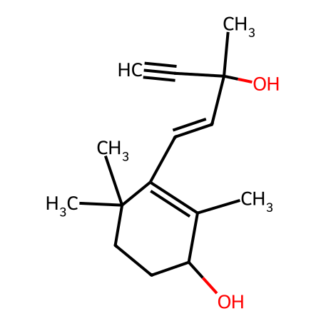 C#CC(C)(O)C=CC1=C(C)C(O)CCC1(C)C